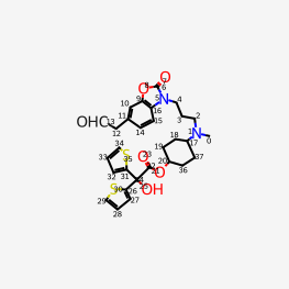 CN(CCCn1c(=O)oc2cc(CC=O)ccc21)C1CCC(OC(=O)C(O)(c2cccs2)c2cccs2)CC1